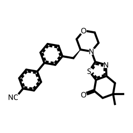 CC1(C)CC(=O)c2sc(N3CCOC[C@@H]3Cc3cccc(-c4ccc(C#N)cc4)c3)nc2C1